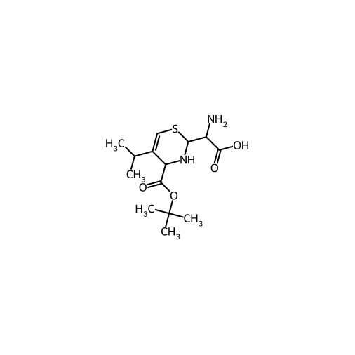 CC(C)C1=CSC(C(N)C(=O)O)NC1C(=O)OC(C)(C)C